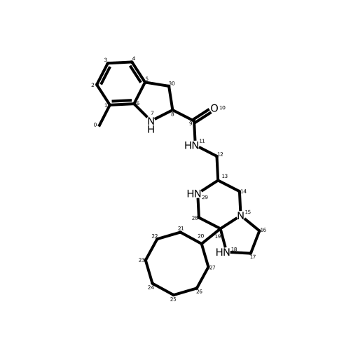 Cc1cccc2c1NC(C(=O)NCC1CN3CCNC3(C3CCCCCCC3)CN1)C2